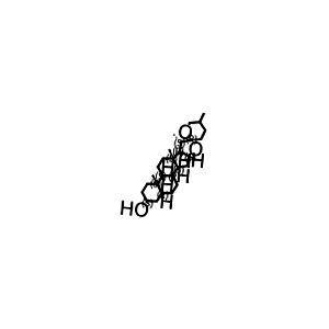 CC1CC[C@@]2(OC1)O[C@H]1C[C@H]3[C@@H]4CC[C@@H]5C[C@@H](O)CC[C@]5(C)[C@H]4CC[C@]3(C)[C@H]1[C@@H]2C